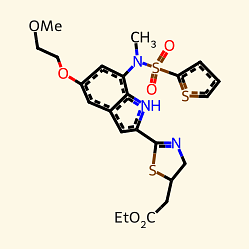 CCOC(=O)CC1CN=C(c2cc3cc(OCCOC)cc(N(C)S(=O)(=O)c4cccs4)c3[nH]2)S1